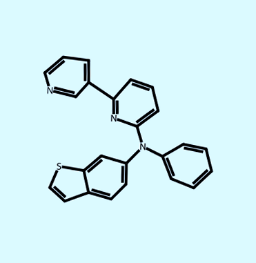 c1ccc(N(c2ccc3ccsc3c2)c2cccc(-c3cccnc3)n2)cc1